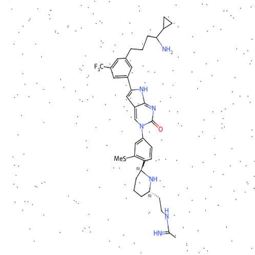 CSc1cc(-n2cc3cc(-c4cc(CCCC(N)C5CC5)cc(C(F)(F)F)c4)[nH]c3nc2=O)ccc1[C@@H]1CCC[C@@H](CCNC(C)=N)N1